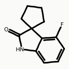 O=C1Nc2cccc(F)c2C12CCCC2